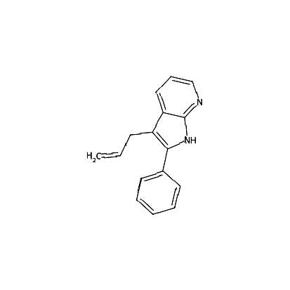 C=CCc1c(-c2ccccc2)[nH]c2ncccc12